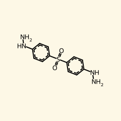 NNc1ccc(S(=O)(=O)c2ccc(NN)cc2)cc1